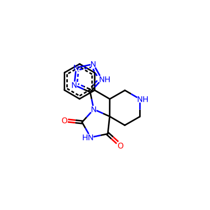 O=C1NC(=O)C2(CCNCC2c2ccccc2)N1c1nnn[nH]1